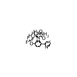 FC(F)(F)Oc1ccc(-c2cscn2)cc1.NN.NNC=O.O